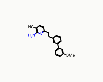 COc1cccc(-c2cccc(CCc3ccc(C#N)c(N)n3)c2)c1